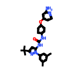 Cc1cc(C)cc(-n2nc(C(C)(C)C)cc2NC(=O)Nc2ccc(Oc3ccnc(N)c3)cc2)c1